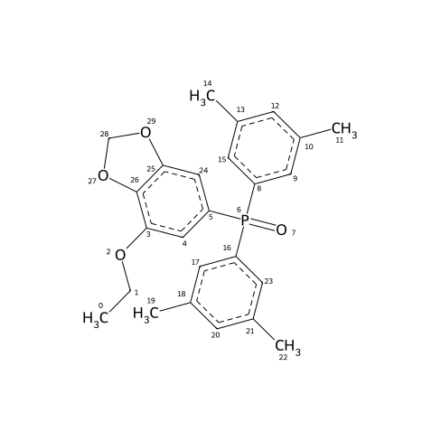 CCOc1cc(P(=O)(c2cc(C)cc(C)c2)c2cc(C)cc(C)c2)cc2c1OCO2